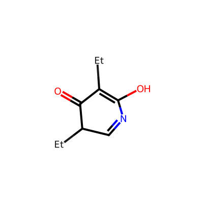 CCC1=C(O)N=CC(CC)C1=O